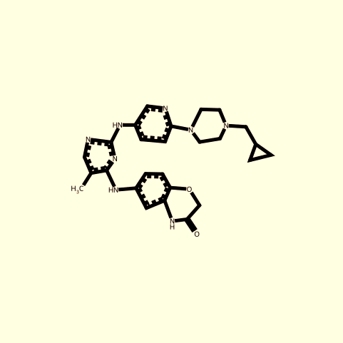 Cc1cnc(Nc2ccc(N3CCN(CC4CC4)CC3)nc2)nc1Nc1ccc2c(c1)NC(=O)CO2